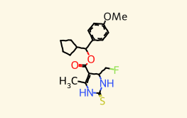 COc1ccc(C(OC(=O)C2=C(C)NC(=S)NC2CF)C2CCCC2)cc1